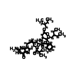 CCC(CC)COC(=O)C[C@H](N[P@](=O)(OCC1(COC(=O)C(C)C)C/C1=C/n1cnc2c(=O)[nH]c(N)nc21)Oc1ccccc1)C(=O)OCC(CC)CC